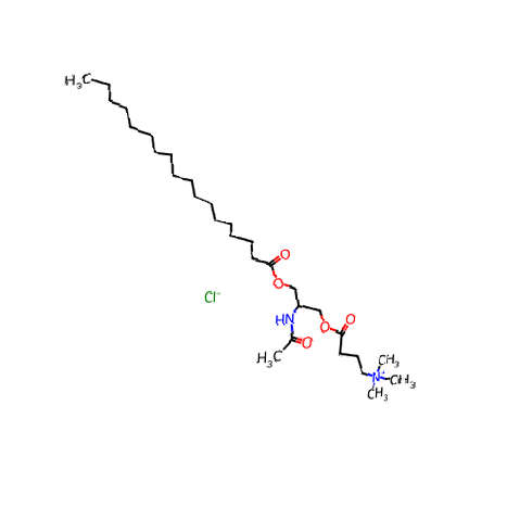 CCCCCCCCCCCCCCCCCC(=O)OCC(COC(=O)CCC[N+](C)(C)C)NC(C)=O.[Cl-]